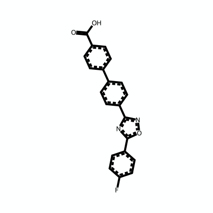 O=C(O)c1ccc(-c2ccc(-c3noc(-c4ccc(F)cc4)n3)cc2)cc1